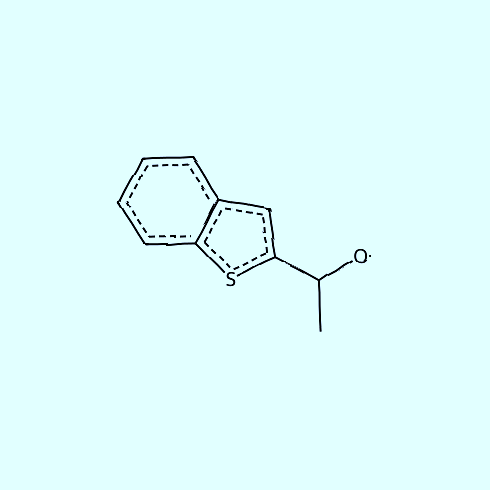 CC([O])c1cc2ccccc2s1